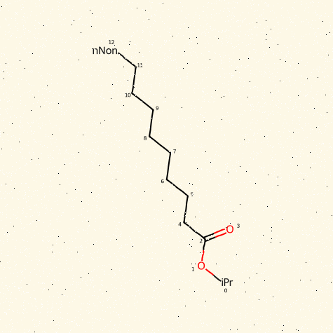 [CH2]C([CH2])OC(=O)CCCCCCCCCCCCCCCCC